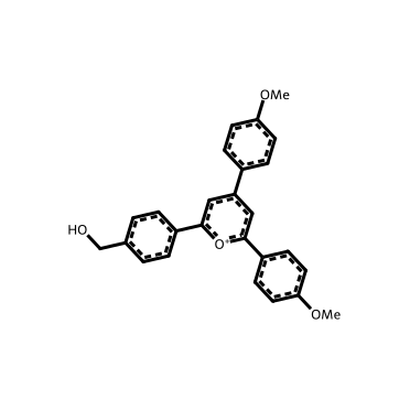 COc1ccc(-c2cc(-c3ccc(CO)cc3)[o+]c(-c3ccc(OC)cc3)c2)cc1